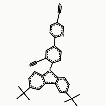 CC(C)(C)c1ccc2c(c1)c1cc(C(C)(C)C)ccc1n2-c1ccc(-c2ncc(C#N)cn2)cc1C#N